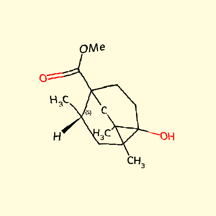 COC(=O)C12CCC(O)(CC[C@@H]1C)C(C)(C)C2